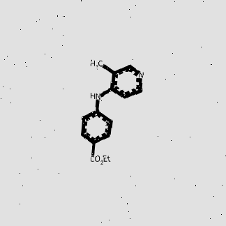 CCOC(=O)c1ccc(Nc2ccncc2C)cc1